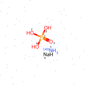 O=P(O)(O)O.[140NH3].[NaH]